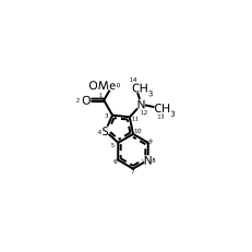 COC(=O)c1sc2ccncc2c1N(C)C